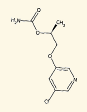 C[C@@H](COc1cncc(Cl)c1)OC(N)=O